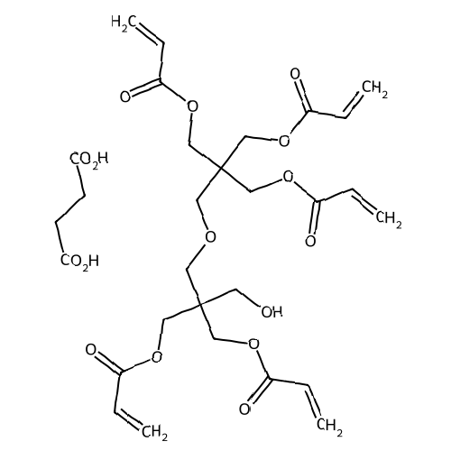 C=CC(=O)OCC(CO)(COCC(COC(=O)C=C)(COC(=O)C=C)COC(=O)C=C)COC(=O)C=C.O=C(O)CCC(=O)O